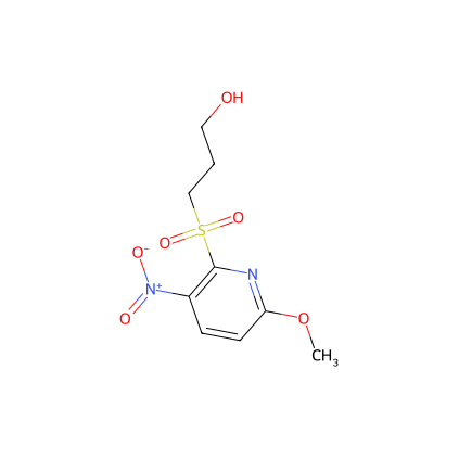 COc1ccc([N+](=O)[O-])c(S(=O)(=O)CCCO)n1